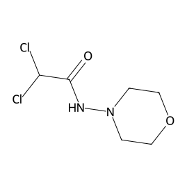 O=C(NN1CCOCC1)C(Cl)Cl